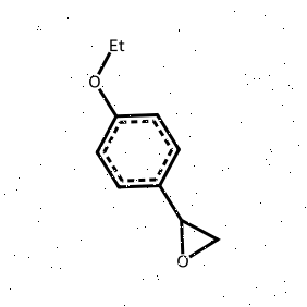 CCOc1ccc(C2CO2)cc1